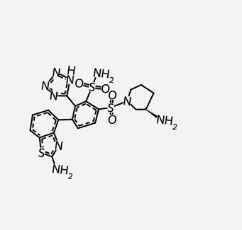 Nc1nc2c(-c3ccc(S(=O)(=O)N4CCC[C@@H](N)C4)c(S(N)(=O)=O)c3-c3nnn[nH]3)cccc2s1